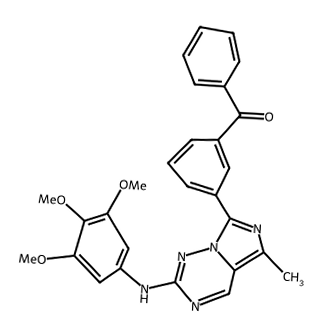 COc1cc(Nc2ncc3c(C)nc(-c4cccc(C(=O)c5ccccc5)c4)n3n2)cc(OC)c1OC